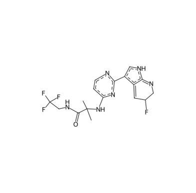 CC(C)(Nc1ccnc(-c2c[nH]c3c2=CC(F)CN=3)n1)C(=O)NCC(F)(F)F